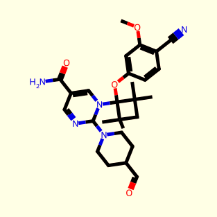 COc1cc(OC2(N3C=C(C(N)=O)C=NC3N3CCC(C=O)CC3)C(C)(C)CC2(C)C)ccc1C#N